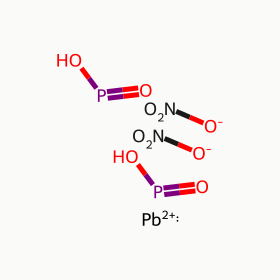 O=PO.O=PO.O=[N+]([O-])[O-].O=[N+]([O-])[O-].[Pb+2]